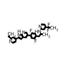 C=Cc1cc(-c2cc3cc(-c4cc(F)c(CC(=C)Nc5cc(C(C)(F)F)ccn5)cc4F)cnc3[nH]2)ccn1